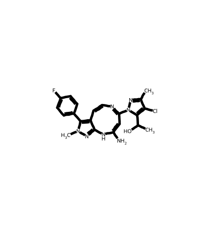 Cc1nn(-c2cc(N)[nH]c3nn(C)c(-c4ccc(F)cc4)c3ccn2)c(C(C)O)c1Cl